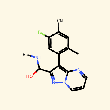 CCNC(O)c1nn2cccnc2c1-c1cc(F)c(C#N)cc1C